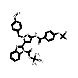 COc1ccc(Cn2nc(NC(=O)c3ccc(OC(F)(F)F)cc3)cc2-c2nc3ccccc3n2C(=O)OC(C)(C)C)cc1